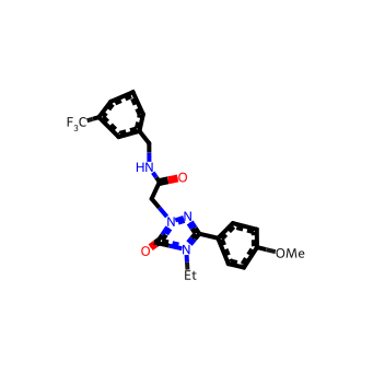 CCn1c(-c2ccc(OC)cc2)nn(CC(=O)NCc2cccc(C(F)(F)F)c2)c1=O